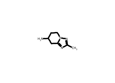 Cc1nc2n(n1)CCC(N)C2